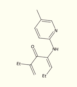 C=C(CC)C(=O)/C(=C\CC)Nc1ccc(C)cn1